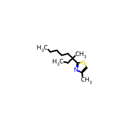 CCCCCC(C)(CC)c1nc(C)cs1